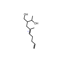 C=CCC/C=C(\C)CC(CO)C(C)O